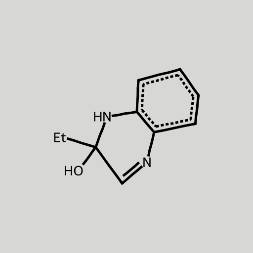 CCC1(O)C=Nc2ccccc2N1